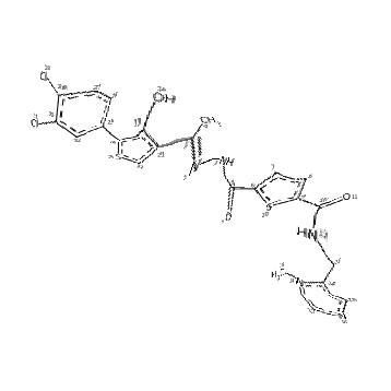 C/C(=N\NC(=O)c1ccc(C(=O)NCc2cncn2C)s1)c1csc(-c2ccc(Cl)c(Cl)c2)c1O